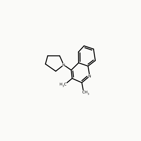 Cc1nc2ccccc2c(N2CCCC2)c1C